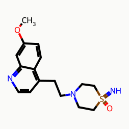 COc1ccc2c(CCN3CCS(=N)(=O)CC3)ccnc2c1